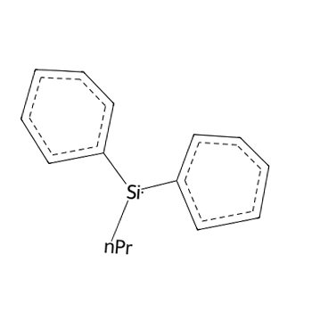 CCC[Si](c1ccccc1)c1ccccc1